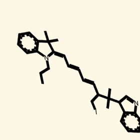 CCCN1C(=CC=CC=CC(CI)C(C)(C)C2C=Nc3ccccc32)C(C)(C)c2ccccc21